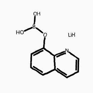 OB(O)Oc1cccc2cccnc12.[LiH]